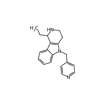 CCC1NCCc2c1c1ccccc1n2Cc1ccncc1